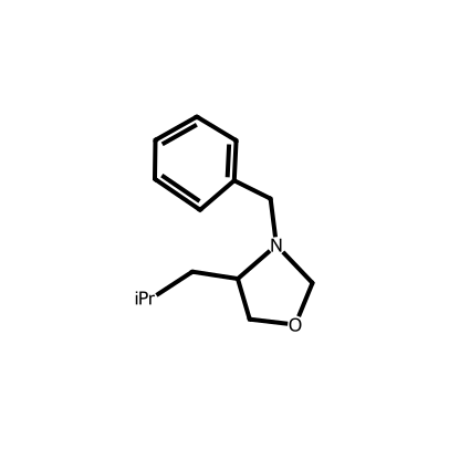 CC(C)CC1COCN1Cc1ccccc1